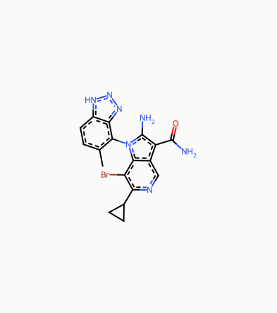 Cc1ccc2[nH]nnc2c1-n1c(N)c(C(N)=O)c2cnc(C3CC3)c(Br)c21